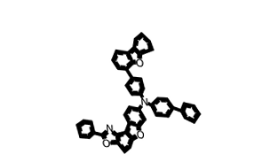 c1ccc(-c2ccc(N(c3ccc(-c4cccc5c4oc4ccccc45)cc3)c3ccc4c(c3)oc3ccc5oc(-c6ccccc6)nc5c34)cc2)cc1